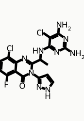 CC(Nc1nc(N)nc(N)c1Cl)c1nc2c(Cl)ccc(F)c2c(=O)n1-c1cc[nH]n1